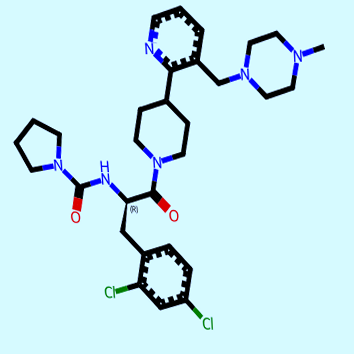 CN1CCN(Cc2cccnc2C2CCN(C(=O)[C@@H](Cc3ccc(Cl)cc3Cl)NC(=O)N3CCCC3)CC2)CC1